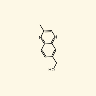 Cc1cnc2cc(CO)ccc2n1